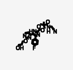 CC1(C(=O)NCC#N)COC(c2nc(-c3ccc(F)cc3)c(-c3ccnc(OCCCO)n3)[nH]2)OC1